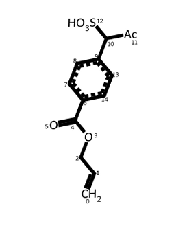 C=CCOC(=O)c1ccc(C(C(C)=O)S(=O)(=O)O)cc1